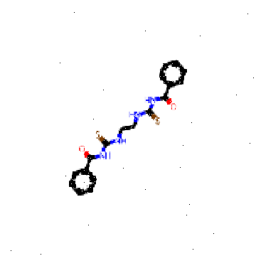 O=C(NC(=S)NCCNC(=S)NC(=O)c1ccccc1)c1ccccc1